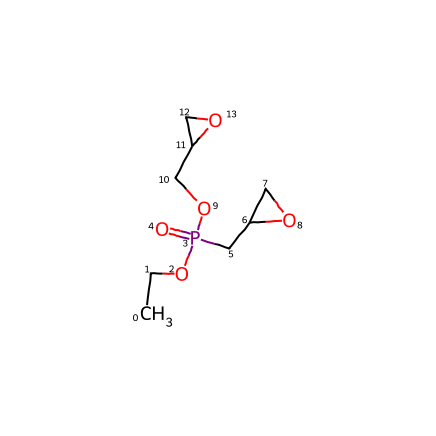 CCOP(=O)(CC1CO1)OCC1CO1